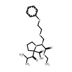 CCOC(=O)[C@H](CSCCSc1ccccc1)N1CCCC1(C(=O)O)C(=O)C(C)N